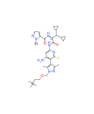 CCn1nccc1C(=O)N[C@H](C(=O)Nc1cc(N)c(-c2c(C)nn(COCC[Si](C)(C)C)c2C)c(F)n1)C(C1CC1)C1CC1